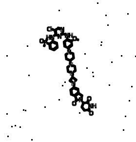 COc1cc(N2CCC(N3CCN(C4CN(c5ccc6c(c5)CN(C5CCC(=O)NC5=O)C6=O)C4)CC3)CC2)ccc1Nc1ncc(Cl)c(Nc2ccccc2P(C)(C)=O)n1